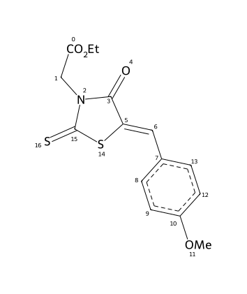 CCOC(=O)CN1C(=O)/C(=C/c2ccc(OC)cc2)SC1=S